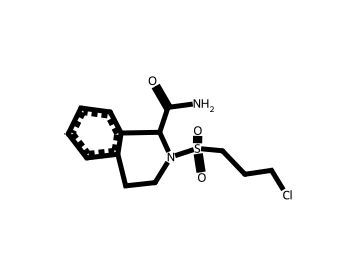 NC(=O)C1c2cc[c]cc2CCN1S(=O)(=O)CCCCl